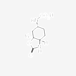 O=C(O)N[C@H]1CC[C@@H]2NC(=O)O[C@H]2C1